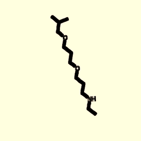 CCNCCCOCCCOCC(C)C